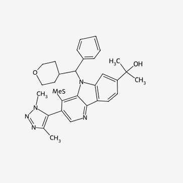 CSc1c(-c2c(C)nnn2C)cnc2c3ccc(C(C)(C)O)cc3n(C(c3ccccc3)C3CCOCC3)c12